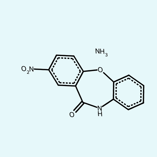 N.O=C1Nc2ccccc2Oc2ccc([N+](=O)[O-])cc21